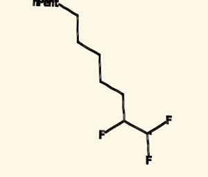 CCCCCCCCCCC(F)[C](F)F